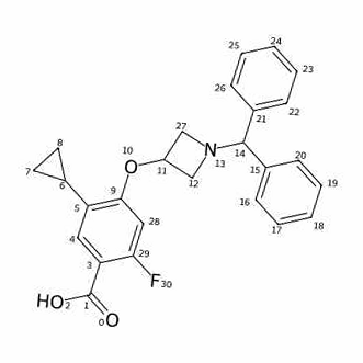 O=C(O)c1cc(C2CC2)c(OC2CN(C(c3ccccc3)c3ccccc3)C2)cc1F